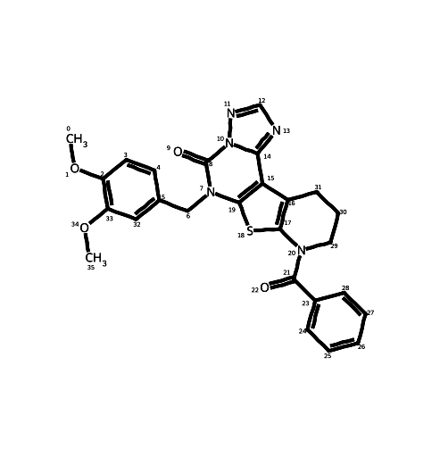 COc1ccc(Cn2c(=O)n3ncnc3c3c4c(sc32)N(C(=O)c2ccccc2)CCC4)cc1OC